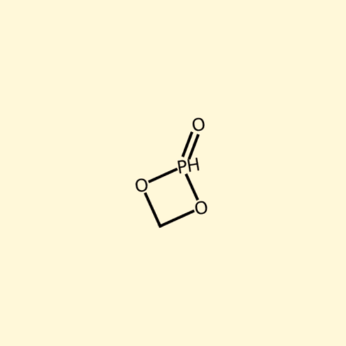 O=[PH]1OCO1